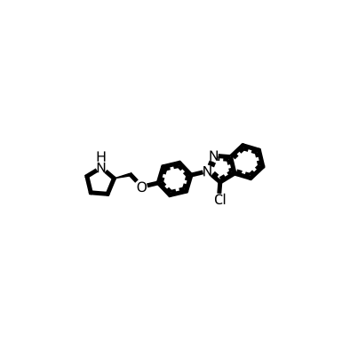 Clc1c2ccccc2nn1-c1ccc(OC[C@H]2CCCN2)cc1